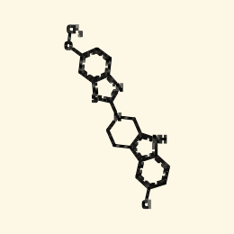 FC(F)(F)Oc1ccc2nc(N3CCc4c([nH]c5ccc(Cl)cc45)C3)sc2c1